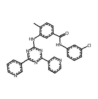 Cc1ccc(C(=O)Nc2cccc(Cl)c2)cc1Nc1nc(-c2cccnc2)nc(-c2cccnc2)n1